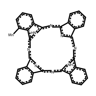 [Mn][c]1cccc2c3nc4nc(nc5[nH]c(nc6nc(nc([nH]3)c12)-c1ccccc1-6)c1ccccc51)-c1ccccc1-4